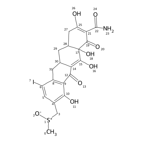 C[S+]([O-])Cc1cc(I)c2c(c1O)C(=O)C1=C(O)C3(O)C(=O)C(C(N)=O)=C(O)CC3CC1C2